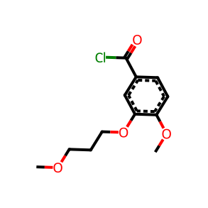 COCCCOc1cc(C(=O)Cl)ccc1OC